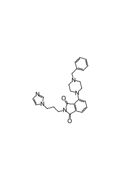 O=C1c2cccc(N3CCN(Cc4ccccc4)CC3)c2C(=O)N1CCCn1ccnc1